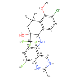 COc1c(Cl)ccc2c1C(C)(C)CC(O)(C(F)(F)F)C2Nc1ccc(F)c2nc(C)ncc12